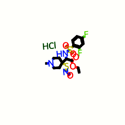 CCOC(=O)C(NS(=O)(=O)c1ccc(F)cc1F)C1(SN=O)CCN(C)CC1.Cl